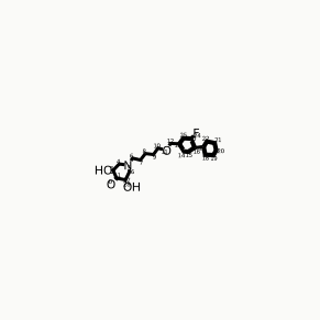 O=C1[C@H](O)CN(CCCCCOCc2ccc(-c3ccccc3)c(F)c2)C[C@@H]1O